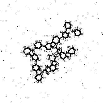 c1ccc(-n2c3ccccc3c3cc(-c4ccc5c6cc(-c7cccc(-n8c9ccccc9c9cc(-c%10ccc%11c%12ccccc%12n(-c%12nc%13c(ccc%14sc%15ccccc%15c%14%13)s%12)c%11c%10)ccc98)c7)ccc6n(-c6nc7c(ccc8oc9ccccc9c87)s6)c5c4)ccc32)cc1